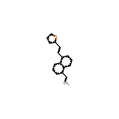 C=Cc1cccc2c(C=Cc3cccs3)cccc12